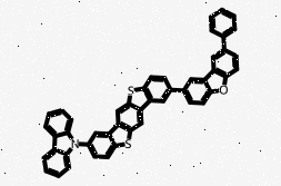 c1ccc(-c2ccc3oc4ccc(-c5ccc6sc7cc8c(cc7c6c5)sc5ccc(-n6c7ccccc7c7ccccc76)cc58)cc4c3c2)cc1